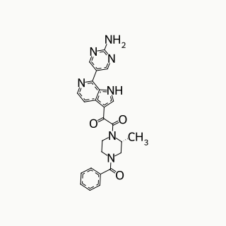 C[C@@H]1CN(C(=O)c2ccccc2)CCN1C(=O)C(=O)c1c[nH]c2c(-c3cnc(N)nc3)nccc12